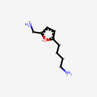 NCCCCc1ccc(CN)o1